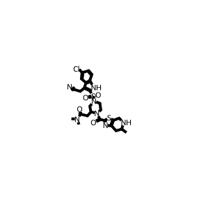 CC1Cc2nc(C(=O)N3CCN(S(=O)(=O)c4[nH]c5ccc(Cl)cc5c4CC#N)CC3CC(=O)N(C)C)sc2CN1